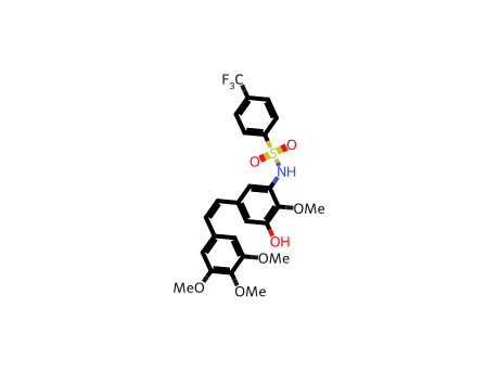 COc1cc(/C=C\c2cc(O)c(OC)c(NS(=O)(=O)c3ccc(C(F)(F)F)cc3)c2)cc(OC)c1OC